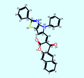 O=C1Oc2cc3ccccc3cc2C(=O)/C1=C/c1cc2sc(-c3ccccc3)nc2n1-c1ccccc1